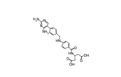 Nc1ncc(-c2ccc(CNc3ccc(C(=O)NC(CC(=O)O)CC(=O)O)cc3)cc2)c(N)n1